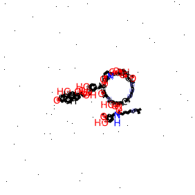 CO[C@H]1C[C@@H]2CC[C@@H](C)[C@@](O)(O2)C(=O)C(=O)N2CCCC[C@H]2C(=O)O[C@H]([C@H](C)C[C@@H]2CC[C@@H](O)[C@H](OC)C2)CC(=O)[C@H](C)/C=C(\C)[C@@H](O)[C@@H](OC)C(=O)[C@H](C)C[C@H](C)/C=C/C=C/C=C/1C.COc1cc(CNC(=O)CCCC/C=C/C(C)C)ccc1O.C[C@]12C=CC(=O)C=C1CC[C@@H]1[C@@H]2[C@@H](O)C[C@@]2(C)[C@H]1CC[C@]2(O)C(=O)CO